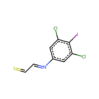 S=CC=Nc1cc(Cl)c(I)c(Cl)c1